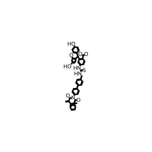 C=C1C(=O)N(c2ccc(-c3ccc(CNC(=S)Nc4ccc5c(c4)C4(OC5=O)c5ccc(O)cc5Oc5cc(O)ccc54)cc3)cc2)C(=O)C2(C)C3C=CC(C3)C12